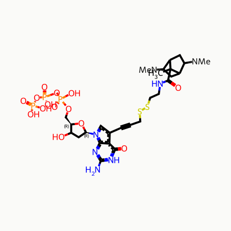 CNC1CC2C(NC)CC1C2(C)C(=O)NCCSSCC#Cc1cn([C@H]2CC(O)[C@@H](COP(=O)(O)OP(=O)(O)OP(=O)(O)O)O2)c2nc(N)[nH]c(=O)c12